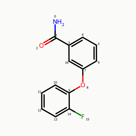 NC(=O)c1cccc(Oc2ccccc2F)c1